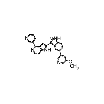 COc1cncc(-c2ccc3[nH]nc(-c4cc5c(-c6cccnc6)nccc5[nH]4)c3c2)c1